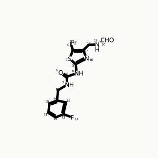 CC(C)c1sc(NC(=O)NCc2cccc(F)c2)nc1CNC=O